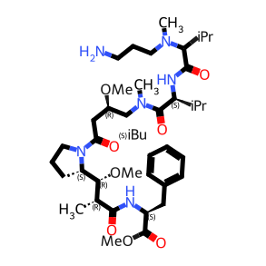 CC[C@H](C)C([C@@H](CC(=O)N1CCC[C@H]1[C@H](OC)[C@@H](C)C(=O)N[C@@H](Cc1ccccc1)C(=O)OC)OC)N(C)C(=O)[C@@H](NC(=O)C(C(C)C)N(C)CCCN)C(C)C